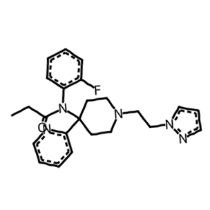 CCC(=O)N(c1ccccc1F)C1(c2ccccn2)CCN(CCn2cccn2)CC1